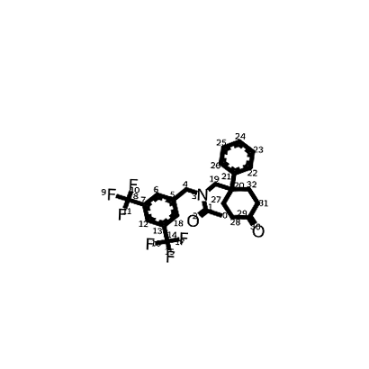 CC(=O)N(Cc1cc(C(F)(F)F)cc(C(F)(F)F)c1)CC1(c2ccccc2)CCC(=O)CC1